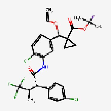 C=COC(c1ccc(Cl)c(NC(=O)[C@H](c2ccc(Cl)cc2)[C@@H](C)C(F)(F)F)c1)C1(C(=O)OC(C)(C)I)CC1